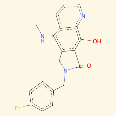 CNc1c2c(c(O)c3ncccc13)C(=O)N(Cc1ccc(F)cc1)C2